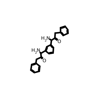 NC(C(=O)Cc1ccccc1)c1cccc(C(N)C(=O)Cc2ccccc2)c1